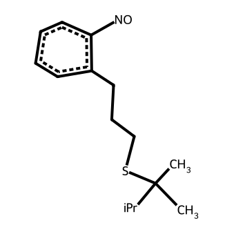 CC(C)C(C)(C)SCCCc1ccccc1N=O